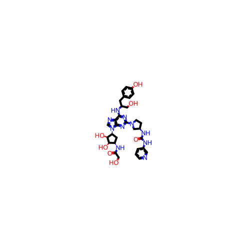 O=C(CO)N[C@H]1C[C@@H](n2cnc3c(NC(CO)Cc4ccc(O)cc4)nc(N4CC[C@@H](NC(=O)Nc5cccnc5)C4)nc32)[C@H](O)[C@@H]1O